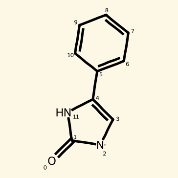 O=C1[N]C=C(c2ccccc2)N1